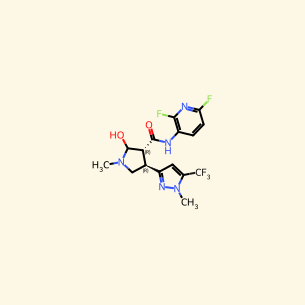 CN1C[C@H](c2cc(C(F)(F)F)n(C)n2)[C@@H](C(=O)Nc2ccc(F)nc2F)C1O